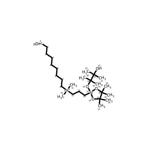 CCCCCCCCCCCCCCCCCC[N+](C)(C)CCC[Si]1(OC(C)(C)C(C)(C)O)OC(C)(C)C(C)(C)O1